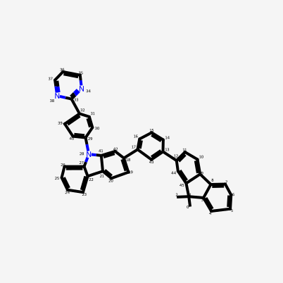 CC1(C)c2ccccc2-c2ccc(-c3cccc(-c4ccc5c6ccccc6n(-c6ccc(-c7ncccn7)cc6)c5c4)c3)cc21